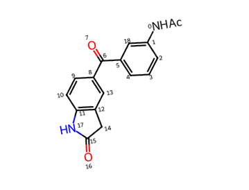 CC(=O)Nc1cccc(C(=O)c2ccc3c(c2)CC(=O)N3)c1